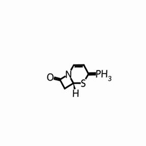 O=C1C[C@H]2SC(=[PH3])C=CN12